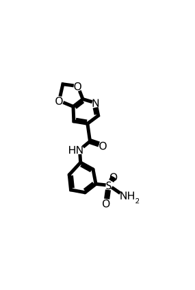 NS(=O)(=O)c1cccc(NC(=O)c2cnc3c(c2)OCO3)c1